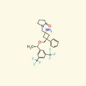 C[C@@H](OC[C@]1(c2ccccc2)C[C@](N)(CN2CCCC2=O)C1)c1cc(C(F)(F)F)cc(C(F)(F)F)c1